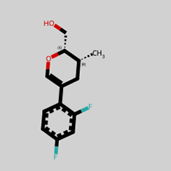 C[C@@H]1CC(c2ccc(F)cc2F)=CO[C@@H]1CO